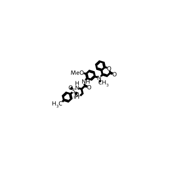 COc1ccc(N(C)c2cc(=O)oc3ccccc23)cc1NC(=O)C(CC(C)C)NS(=O)(=O)c1ccc(C)cc1